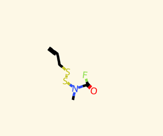 C=CCSSN(C)C(=O)F